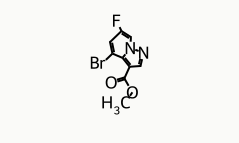 COC(=O)c1cnn2cc(F)cc(Br)c12